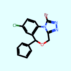 Clc1ccc2c(c1)C(c1ccccc1)OCc1nnc(Br)n1-2